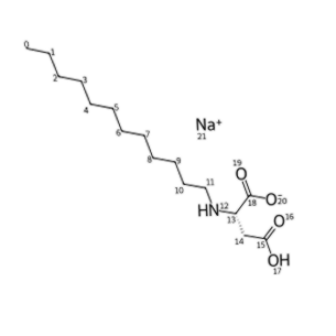 CCCCCCCCCCCCN[C@@H](CC(=O)O)C(=O)[O-].[Na+]